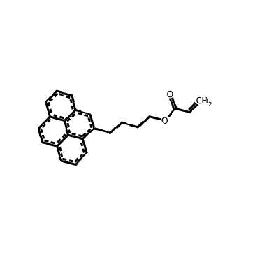 C=CC(=O)OCCCCc1cc2cccc3ccc4cccc1c4c32